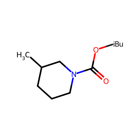 CCC(C)OC(=O)N1CCCC(C)C1